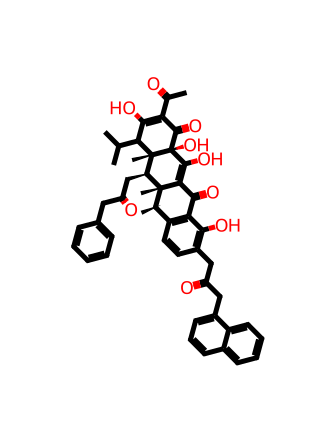 CC(=O)C1=C(O)C(C(C)C)[C@@]2(C)[C@H](CC(=O)Cc3ccccc3)[C@]3(C)C(=C(O)[C@@]2(O)C1=O)C(=O)c1c(ccc(CC(=O)Cc2cccc4ccccc24)c1O)[C@H]3C